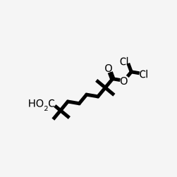 CC(C)(CCCCC(C)(C)C(=O)OC(Cl)Cl)C(=O)O